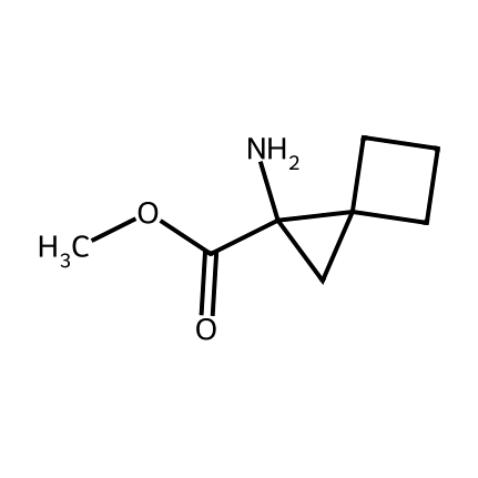 COC(=O)C1(N)CC12CCC2